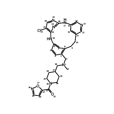 CN(Cc1ccc2cc1CCc1cncc(c1)Nc1ncc(Cl)c(n1)N2)CC1CCN(C(=O)c2ccno2)CC1